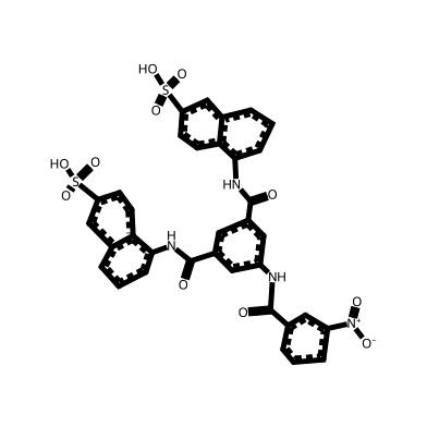 O=C(Nc1cc(C(=O)Nc2cccc3cc(S(=O)(=O)O)ccc23)cc(C(=O)Nc2cccc3cc(S(=O)(=O)O)ccc23)c1)c1cccc([N+](=O)[O-])c1